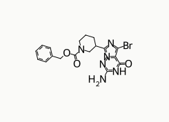 Nc1nn2c(C3CCCN(C(=O)OCc4ccccc4)C3)nc(Br)c2c(=O)[nH]1